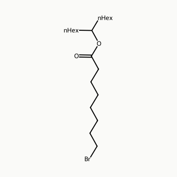 CCCCCCC(CCCCCC)OC(=O)CCCCCCCBr